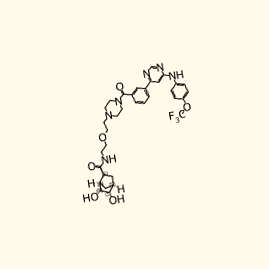 O=C(NCCOCCN1CCN(C(=O)c2cccc(-c3cc(Nc4ccc(OC(F)(F)F)cc4)ncn3)c2)CC1)[C@H]1C[C@@H]2C[C@H]1[C@@H](O)[C@H]2O